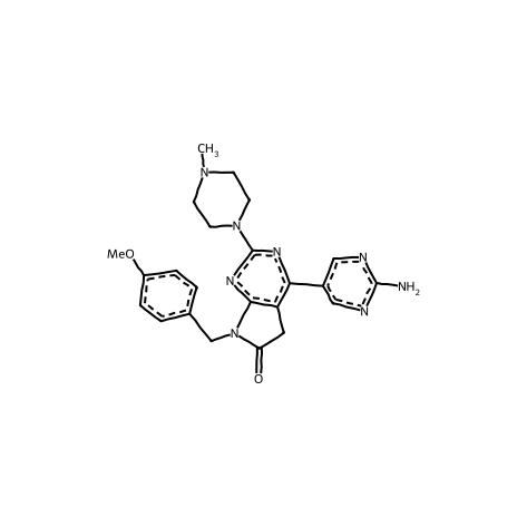 COc1ccc(CN2C(=O)Cc3c(-c4cnc(N)nc4)nc(N4CCN(C)CC4)nc32)cc1